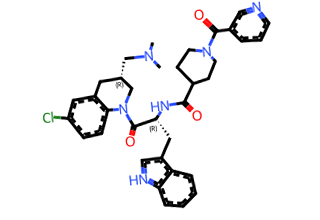 CN(C)C[C@H]1Cc2cc(Cl)ccc2N(C(=O)[C@@H](Cc2c[nH]c3ccccc23)NC(=O)C2CCN(C(=O)c3cccnc3)CC2)C1